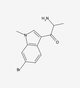 CC(N)C(=O)c1cn(C)c2cc(Br)ccc12